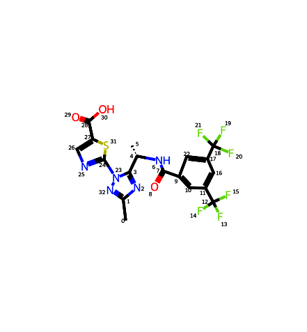 Cc1nc([C@H](C)NC(=O)c2cc(C(F)(F)F)cc(C(F)(F)F)c2)n(-c2ncc(C(=O)O)s2)n1